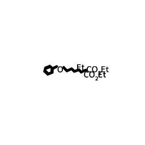 CCOC(=O)C(CC)(CCCCCCOCc1ccccc1)C(=O)OCC